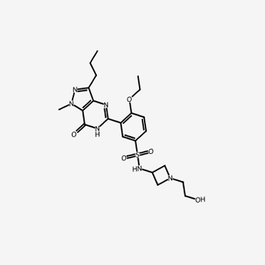 CCCc1nn(C)c2c(=O)[nH]c(-c3cc(S(=O)(=O)NC4CN(CCO)C4)ccc3OCC)nc12